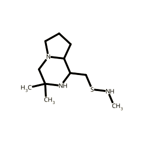 CNSCC1NC(C)(C)CN2CCCC12